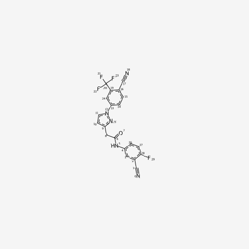 N#Cc1cc(NC(=O)Cc2ccn(-c3ccc(C#N)c(C(F)(F)F)c3)n2)ccc1F